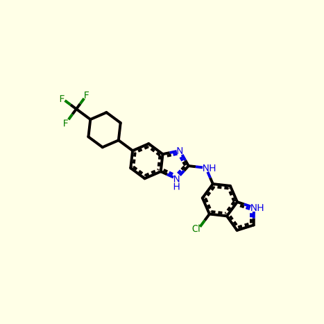 FC(F)(F)C1CCC(c2ccc3[nH]c(Nc4cc(Cl)c5cc[nH]c5c4)nc3c2)CC1